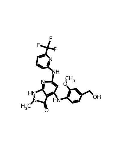 COc1cc(CO)ccc1Nc1cc(Nc2cccc(C(F)(F)F)n2)nc2[nH]n(C)c(=O)c12